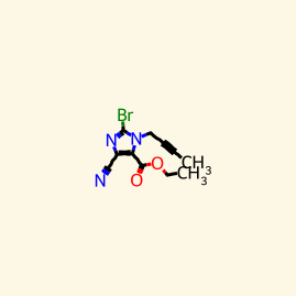 CC#CCn1c(Br)nc(C#N)c1C(=O)OCC